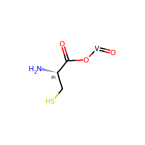 N[C@@H](CS)C(=O)[O][V]=[O]